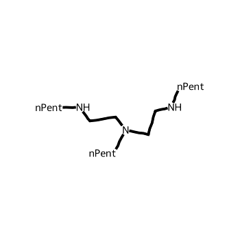 CCCCCNCCN(CCCCC)CCNCCCCC